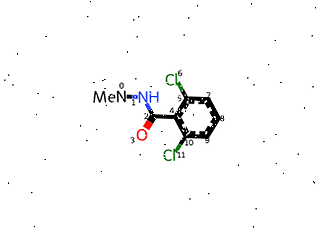 CNNC(=O)c1c(Cl)cccc1Cl